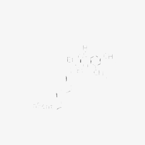 CCCCC/C=C\C/C=C\C/C=C\C/C=C\CCC(CC)(CC)C(=O)Oc1c(C)cc(C)cc1C